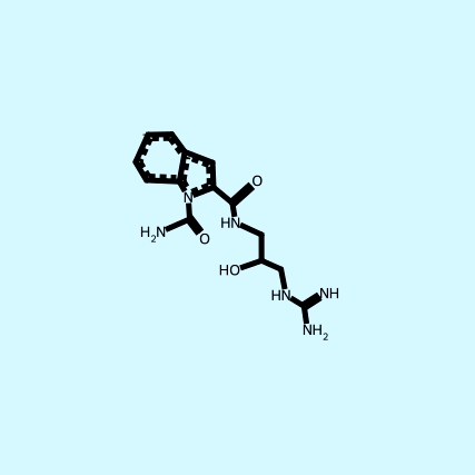 N=C(N)NCC(O)CNC(=O)c1cc2c[c]ccc2n1C(N)=O